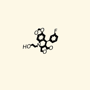 O=C1OCC2=C1[C@H](c1cccc(F)c1)c1cc3c(cc1N2CCO)OCO3